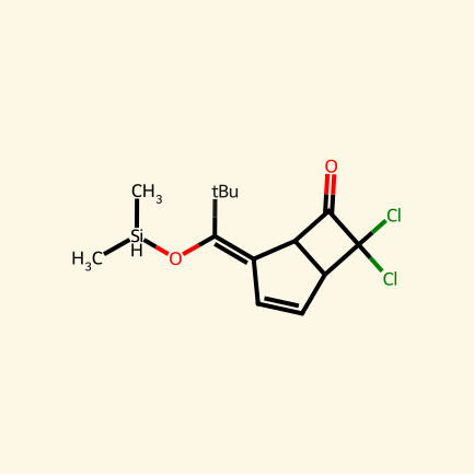 C[SiH](C)OC(=C1C=CC2C1C(=O)C2(Cl)Cl)C(C)(C)C